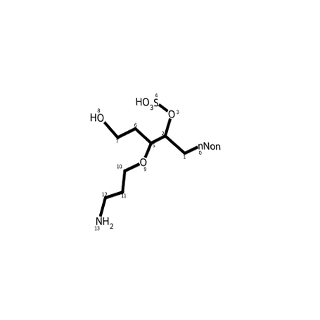 CCCCCCCCCCC(OS(=O)(=O)O)C(CCO)OCCCN